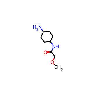 COCC(=O)NC1CCC(N)CC1